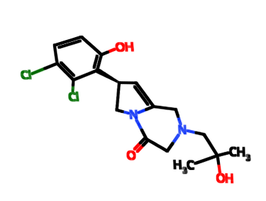 CC(C)(O)CN1CC(=O)N2C[C@@H](c3c(O)ccc(Cl)c3Cl)C=C2C1